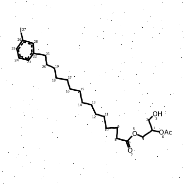 CC(=O)OC(CO)COC(=O)CCCCCCCCCCCCCCc1cccc(I)c1